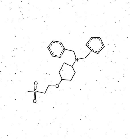 CS(=O)(=O)CCOC1CCC(N(Cc2ccccc2)Cc2ccccc2)CC1